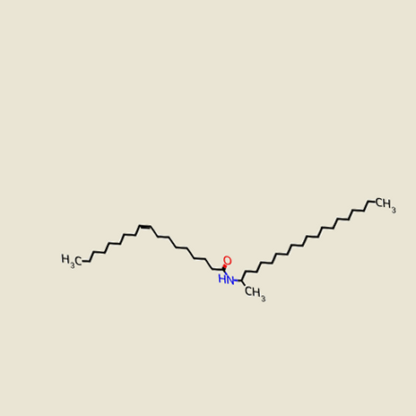 CCCCCCCC/C=C\CCCCCCCC(=O)NC(C)CCCCCCCCCCCCCCCCCC